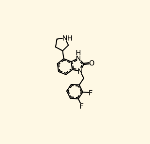 O=c1[nH]c2c(C3CCNC3)cccc2n1Cc1cccc(F)c1F